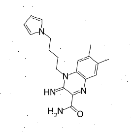 Cc1cc2nc(C(N)=O)c(=N)n(CCCCn3cccc3)c2cc1C